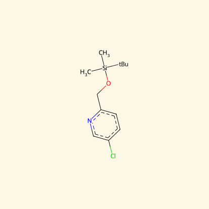 CC(C)(C)[Si](C)(C)OCc1ccc(Cl)cn1